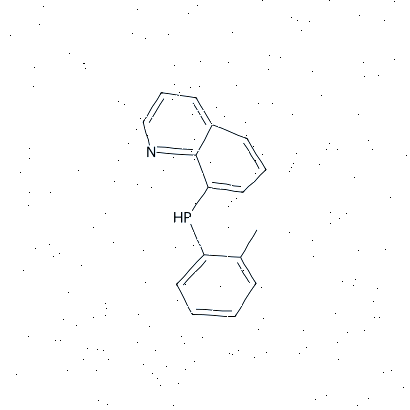 Cc1ccccc1Pc1cccc2cccnc12